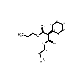 CCCOC(=O)C(C(=O)OCCC)=C1CCCCC1